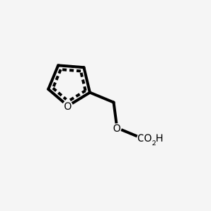 O=C(O)OCc1ccco1